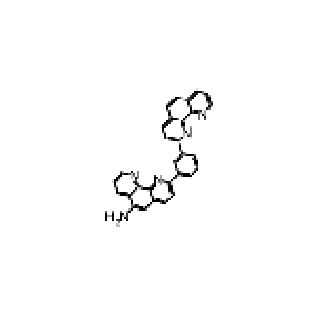 Nc1cc2ccc(-c3cccc(-c4ccc5ccc6cccnc6c5n4)c3)nc2c2ncccc12